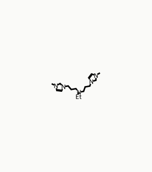 CCN(CCCN1C=CN(C)C1)CCCN1C=CN(C)C1